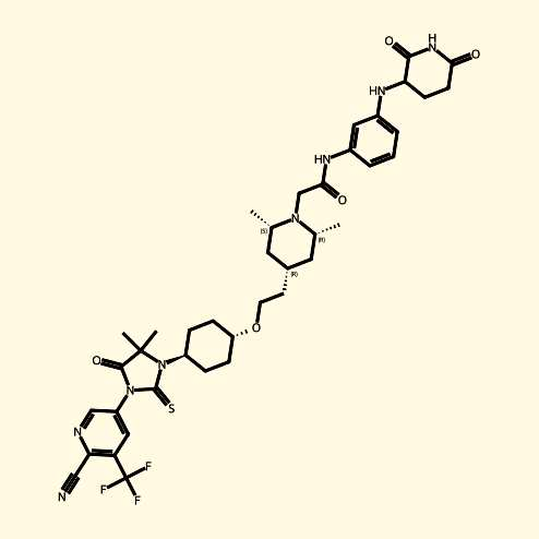 C[C@@H]1C[C@H](CCO[C@H]2CC[C@H](N3C(=S)N(c4cnc(C#N)c(C(F)(F)F)c4)C(=O)C3(C)C)CC2)C[C@H](C)N1CC(=O)Nc1cccc(NC2CCC(=O)NC2=O)c1